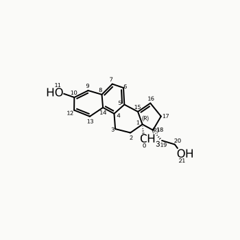 C[C@]12CCc3c(ccc4cc(O)ccc34)C1=CC[C@@H]2CCO